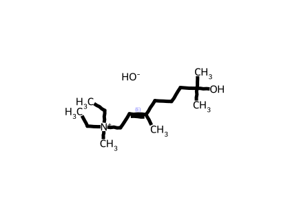 CC[N+](C)(CC)C/C=C(\C)CCCC(C)(C)O.[OH-]